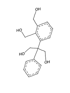 OCc1cccc(C(CO)(CO)c2ccccc2)c1CO